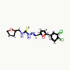 S=C(NCC1CCCO1)NN=Cc1ccc(-c2ccc(Cl)c(Cl)c2)o1